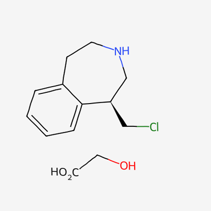 ClC[C@@H]1CNCCc2ccccc21.O=C(O)CO